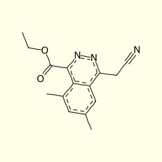 CCOC(=O)c1nnc(CC#N)c2cc(C)cc(C)c12